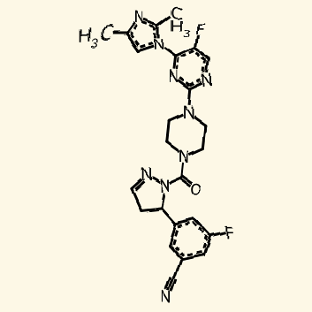 Cc1cn(-c2nc(N3CCN(C(=O)N4N=CCC4c4cc(F)cc(C#N)c4)CC3)ncc2F)c(C)n1